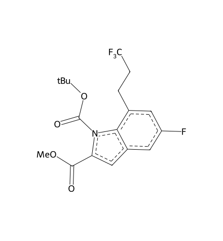 COC(=O)c1cc2cc(F)cc(CCC(F)(F)F)c2n1C(=O)OC(C)(C)C